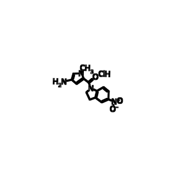 Cl.Cn1cc(N)cc1C(=O)N1CCc2cc([N+](=O)[O-])ccc21